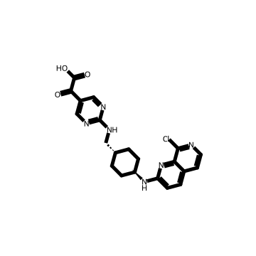 O=C(O)C(=O)c1cnc(NC[C@H]2CC[C@H](Nc3ccc4ccnc(Cl)c4n3)CC2)nc1